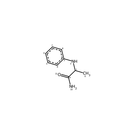 CC(Nc1[c]cccc1)C(N)=O